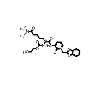 CN(C)C(=O)/C=C/CC[C@H](NC(=O)OCCO)C(=O)Nc1cccn(Cc2nc3ccccc3s2)c1=O